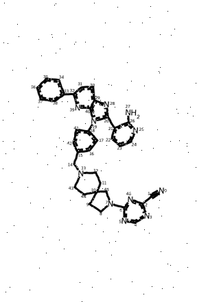 N#Cc1ncnc(N2CCC3(CCN(Cc4ccc(-n5c(-c6cccnc6N)nc6ccc(-c7ccccc7)nc65)cc4)CC3)C2)n1